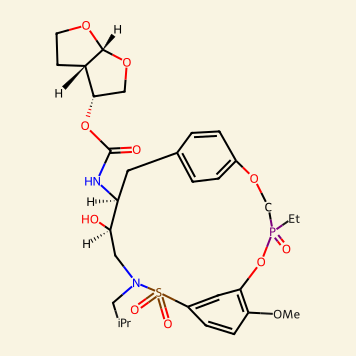 CCP1(=O)COc2ccc(cc2)C[C@H](NC(=O)O[C@H]2CO[C@H]3OCC[C@H]32)[C@H](O)CN(CC(C)C)S(=O)(=O)c2ccc(OC)c(c2)O1